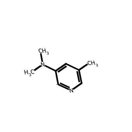 Cc1cn[c]c(N(C)C)c1